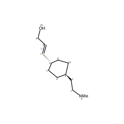 CNCC[C@H]1CC[C@H](/C=C/CO)CC1